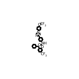 O=C(Nc1ccc(-c2ncn(-c3ccc(OC(F)(F)F)cc3)n2)cc1)OC(c1ccccc1)c1ccc(C(F)(F)F)cc1